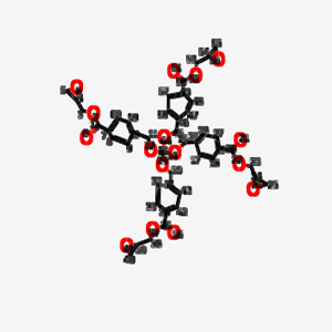 O=C(OCC1CO1)c1ccc(COC(OCc2ccc(C(=O)OCC3CO3)cc2)(OCc2ccc(C(=O)OCC3CO3)cc2)OCc2ccc(C(=O)OCC3CO3)cc2)cc1